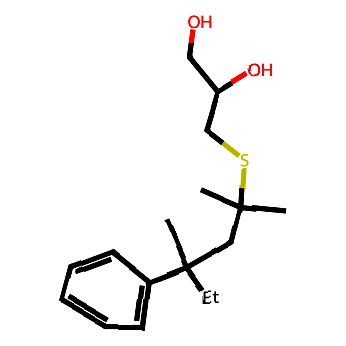 CCC(C)(CC(C)(C)SCC(O)CO)c1ccccc1